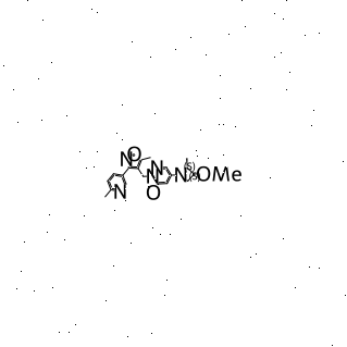 CO[C@H]1CN(c2cnn(Cc3c(-c4ccc(C)nc4)noc3C)c(=O)c2)[C@H]1C